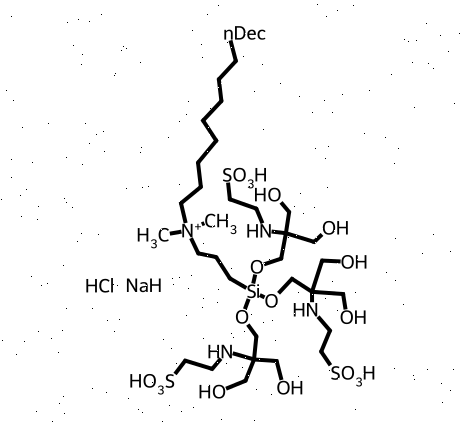 CCCCCCCCCCCCCCCCCC[N+](C)(C)CCC[Si](OCC(CO)(CO)NCCS(=O)(=O)O)(OCC(CO)(CO)NCCS(=O)(=O)O)OCC(CO)(CO)NCCS(=O)(=O)O.Cl.[NaH]